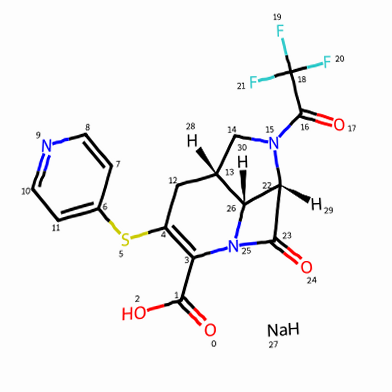 O=C(O)C1=C(Sc2ccncc2)C[C@@H]2CN(C(=O)C(F)(F)F)[C@@H]3C(=O)N1[C@H]23.[NaH]